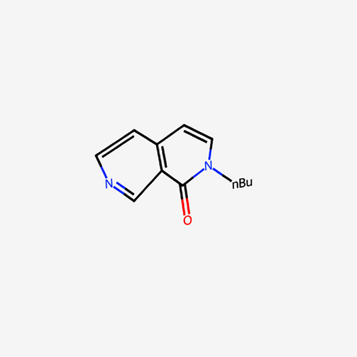 CCCCn1ccc2ccncc2c1=O